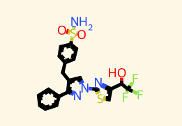 NS(=O)(=O)c1ccc(Cc2cn(-c3nc(C(O)C(F)(F)F)cs3)nc2-c2ccccc2)cc1